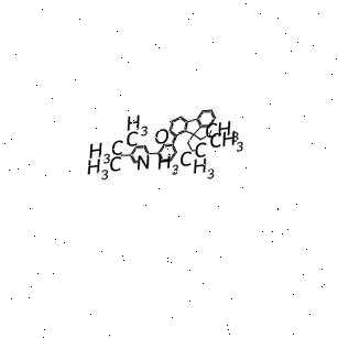 Cc1cc(-c2cccc3c2oc2ccc4c(c23)C(CC(C)C)(CC(C)C)c2ccccc2-4)ncc1C(C)C